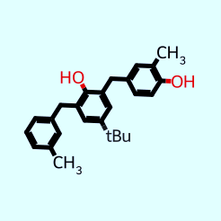 Cc1cccc(Cc2cc(C(C)(C)C)cc(Cc3ccc(O)c(C)c3)c2O)c1